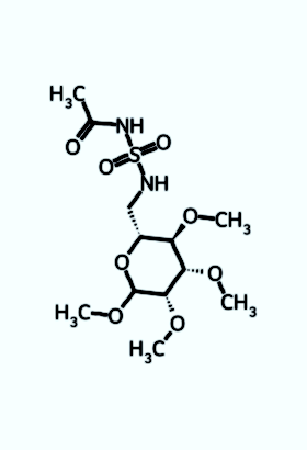 COC1O[C@H](CNS(=O)(=O)NC(C)=O)[C@@H](OC)[C@H](OC)[C@@H]1OC